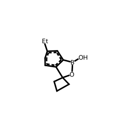 CCc1ccc2c(c1)B(O)OC21CCC1